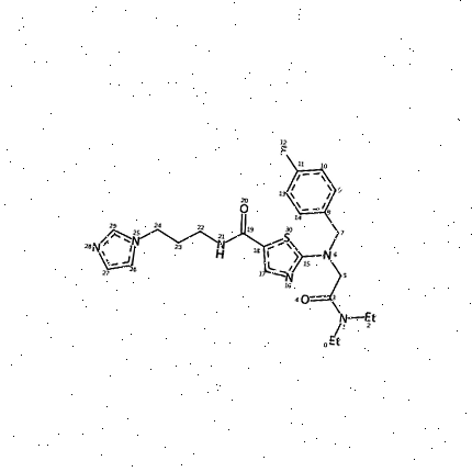 CCN(CC)C(=O)CN(Cc1ccc(F)cc1)c1ncc(C(=O)NCCCn2ccnc2)s1